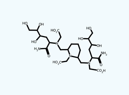 NC(=O)C(CC(O)C(O)CO)N(CC(=O)O)CC1CCCC(CN(CC(=O)O)C(CC(O)C(O)CO)C(N)=O)N1CC(=O)O